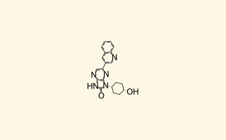 O=c1[nH]c2ncc(-c3cnc4ccccc4c3)nc2n1[C@H]1CC[C@@H](O)CC1